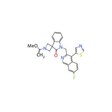 C=C(OC)N1CC2(C1)C(=O)N(Cc1ncc3cc(F)ccc3c1-c1cncs1)c1ccccc12